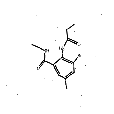 CCC(=O)Nc1c(Br)cc(C)cc1C(=O)NC